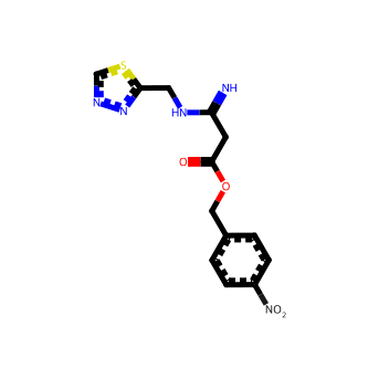 N=C(CC(=O)OCc1ccc([N+](=O)[O-])cc1)NCc1nn[c]s1